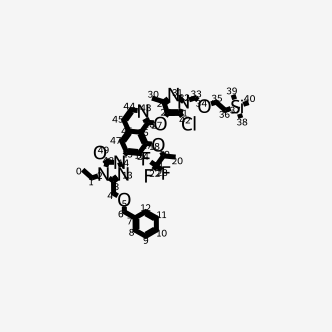 CCn1c(COCc2ccccc2)nn(-c2cc(OC(C)C(F)(F)F)c3c(Oc4c(C)nn(COCC[Si](C)(C)C)c4Cl)nccc3c2)c1=O